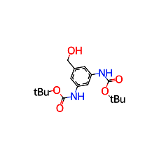 CC(C)(C)OC(=O)Nc1cc(CO)cc(NC(=O)OC(C)(C)C)c1